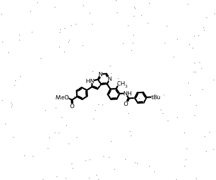 COC(=O)c1ccc(-c2cc3c(-c4cccc(NC(=O)c5ccc(C(C)(C)C)cc5)c4C)ncnc3[nH]2)cc1